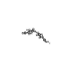 COc1ccc(C2=CN3C(O)c4cc(OC)c(OCCCOc5cc6c(cc5OC)C(=O)N5C=C(c7ccc(N)cc7)CC5C=N6)cc4N=C[C@@H]3C2)cc1